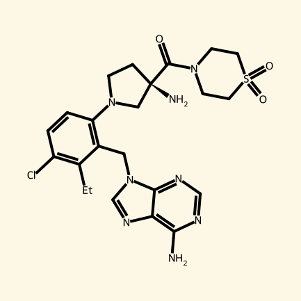 CCc1c(Cl)ccc(N2CC[C@](N)(C(=O)N3CCS(=O)(=O)CC3)C2)c1Cn1cnc2c(N)ncnc21